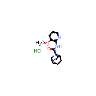 COc1cccnc1NC(=O)C1CC2CCC1NC2.Cl